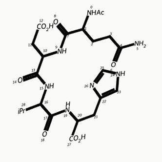 CC(=O)NC(CCC(N)=O)C(=O)NC(CC(=O)O)C(=O)NC(C(=O)NC(Cc1c[nH]cn1)C(=O)O)C(C)C